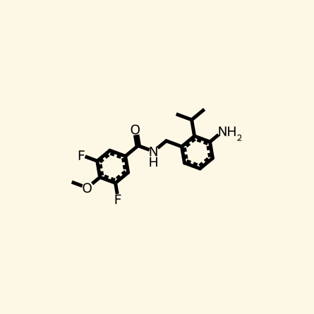 COc1c(F)cc(C(=O)NCc2cccc(N)c2C(C)C)cc1F